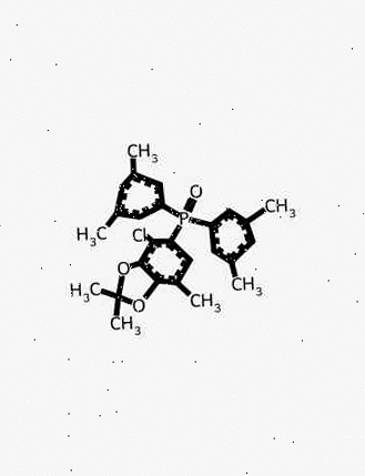 Cc1cc(C)cc(P(=O)(c2cc(C)cc(C)c2)c2cc(C)c3c(c2Cl)OC(C)(C)O3)c1